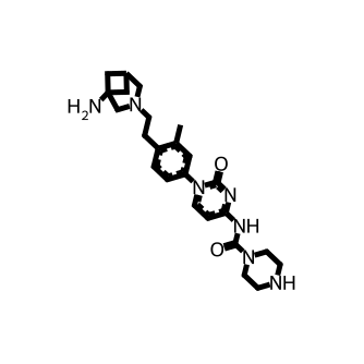 Cc1cc(-n2ccc(NC(=O)N3CCNCC3)nc2=O)ccc1CCN1CC2CC(N)(C2)C1